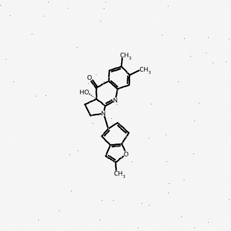 Cc1cc2cc(N3CC[C@@]4(O)C(=O)c5cc(C)c(C)cc5N=C34)ccc2o1